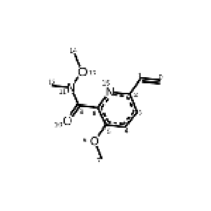 C=Cc1ccc(OC)c(C(=O)N(C)OC)n1